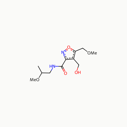 COCc1onc(C(=O)NCC(C)OC)c1CO